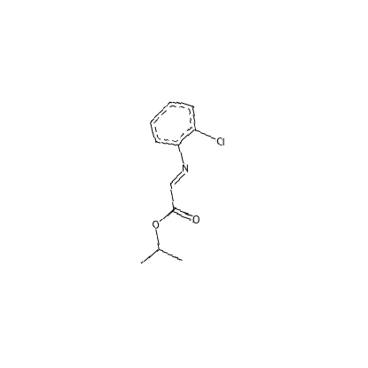 CC(C)OC(=O)C=Nc1ccccc1Cl